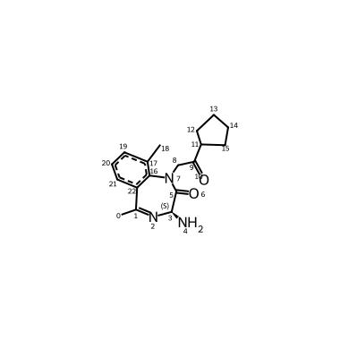 CC1=N[C@H](N)C(=O)N(CC(=O)C2CCCC2)c2c(C)cccc21